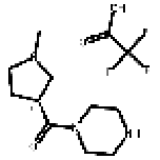 CN1CC[C@H](C(=O)N2CCNCC2)C1.O=C(O)C(F)(F)F